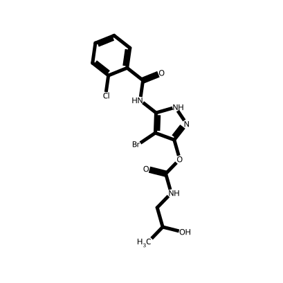 CC(O)CNC(=O)Oc1n[nH]c(NC(=O)c2ccccc2Cl)c1Br